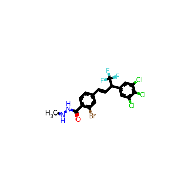 CNNC(=O)c1ccc(/C=C/C(c2cc(Cl)c(Cl)c(Cl)c2)C(F)(F)F)cc1Br